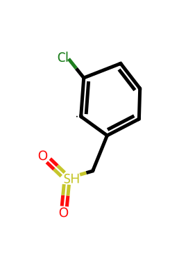 O=[SH](=O)Cc1[c]c(Cl)ccc1